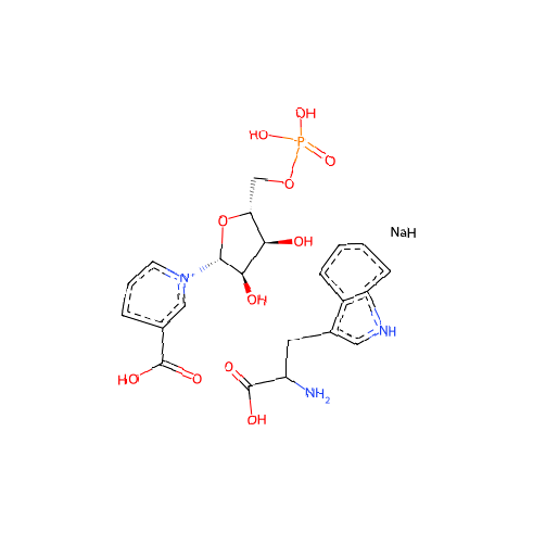 NC(Cc1c[nH]c2ccccc12)C(=O)O.O=C(O)c1ccc[n+]([C@@H]2O[C@H](COP(=O)(O)O)[C@@H](O)[C@H]2O)c1.[NaH]